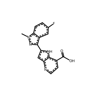 Cn1nc(-c2cc3nccc(C(=O)O)c3[nH]2)c2cc(F)ccc21